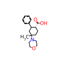 CC1(N2CCOCC2)CC[C@@H](C(=O)O)C(c2ccccc2)C1